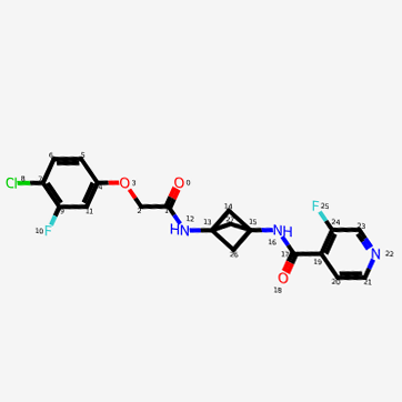 O=C(COc1ccc(Cl)c(F)c1)NC12CC(NC(=O)c3ccncc3F)(C1)C2